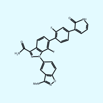 CNc1noc2ccc(-n3nc(C(N)=O)c4ccc(-c5ccc(-c6ccc[nH]c6=O)cc5F)c(F)c43)cc12